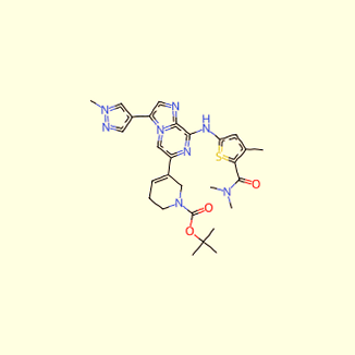 Cc1cc(Nc2nc(C3=CCCN(C(=O)OC(C)(C)C)C3)cn3c(-c4cnn(C)c4)cnc23)sc1C(=O)N(C)C